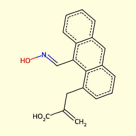 C=C(Cc1cccc2cc3ccccc3c(C=NO)c12)C(=O)O